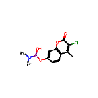 Cc1c(Cl)c(=O)oc2cc(OP(O)N(C(C)C)C(C)C)ccc12